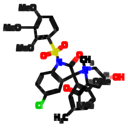 CNC(=O)[C@@H]1C[C@@H](O)C[N+]1(C)C1(c2cc(C)ccc2OC)C(=O)N(S(=O)(=O)c2ccc(OC)c(OC)c2OC)c2ccc(Cl)cc21